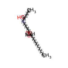 CCCCCCCCCCCCCCCCCC(=O)OC(=O)CCCCCCC/C=C\C[C@H](O)CCCCCC.[NaH]